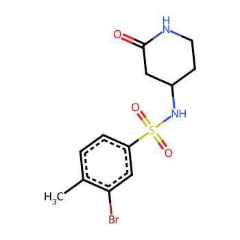 Cc1ccc(S(=O)(=O)NC2CCNC(=O)C2)cc1Br